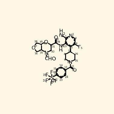 Nc1ncc(F)c(C2CCN(C(=O)c3ccc(S(F)(F)(F)(F)F)cc3)CC2)c1NC(=O)C1CN(C=O)C2COCC2O1